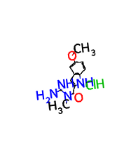 COc1ccc2[nH]c(C(=O)N(C)C(=N)N)cc2c1.Cl